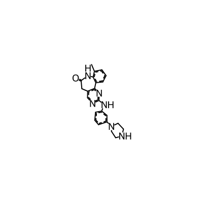 Cc1cccc2c1NC(=O)Cc1cnc(Nc3cccc(N4CCNCC4)c3)nc1-2